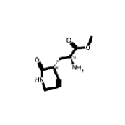 COC(=O)[C@@H](N)C[C@@H]1C#CCNC1=O